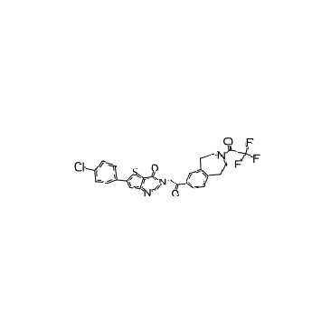 O=C(Cn1cnc2cc(-c3ccc(Cl)cc3)sc2c1=O)c1ccc2c(c1)CCN(C(=O)C(F)(F)F)CC2